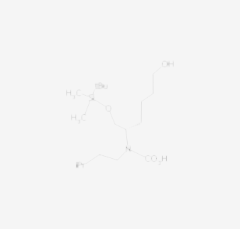 CC(C)CCN(C(=O)O)[C@@H](CCCCO)CO[Si](C)(C)C(C)(C)C